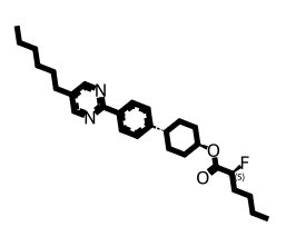 CCCCCCc1cnc(-c2ccc([C@H]3CC[C@H](OC(=O)[C@@H](F)CCCC)CC3)cc2)nc1